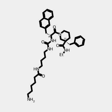 CCNC(=O)[C@]1(Cc2ccccc2)CCCN(C(=O)[C@@H](Cc2ccc3ccccc3c2)NC(=O)NCCCCNC(=O)CCCCCN)C1